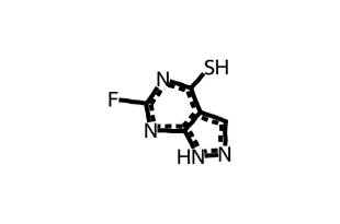 Fc1nc(S)c2cn[nH]c2n1